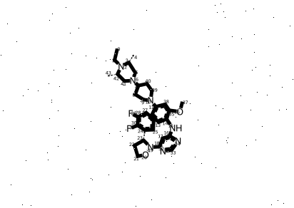 CCN1[C@H](C)CN(C2CCN(c3ccc(Nc4cc(N5OCC[C@@H]5c5cccc(F)c5F)ncn4)c(OC)c3)CC2)C[C@@H]1C